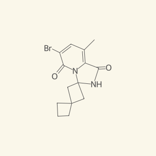 Cc1cc(Br)c(=O)n2c1C(=O)NC21CC2(CCC2)C1